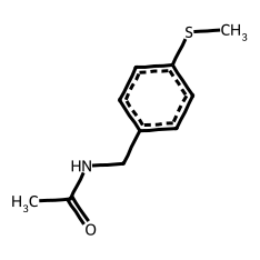 CSc1ccc(CNC(C)=O)cc1